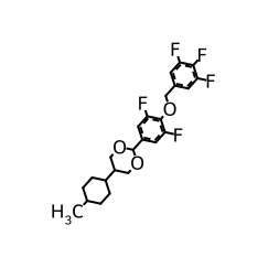 CC1CCC(C2COC(c3cc(F)c(OCc4cc(F)c(F)c(F)c4)c(F)c3)OC2)CC1